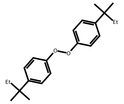 CCC(C)(C)c1ccc(OOc2ccc(C(C)(C)CC)cc2)cc1